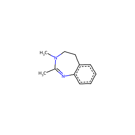 CC1=Nc2ccccc2CCN1C